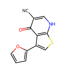 N#Cc1c[nH]c2scc(-c3ccco3)c2c1=O